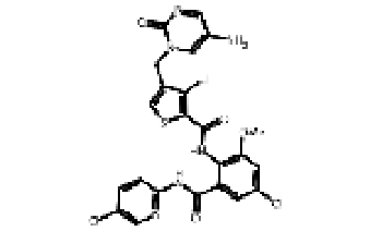 COc1cc(Cl)cc(C(=O)Nc2ccc(Cl)cn2)c1NC(=O)c1scc(Cn2cc(N)cnc2=O)c1Cl